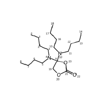 CCCCN(CCCC)C1(N(CCCC)CCCC)COC(=O)O1